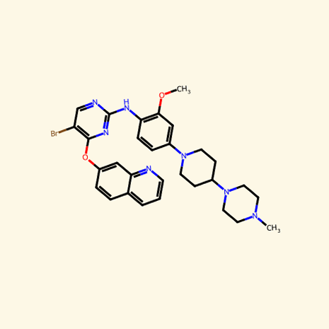 COc1cc(N2CCC(N3CCN(C)CC3)CC2)ccc1Nc1ncc(Br)c(Oc2ccc3cccnc3c2)n1